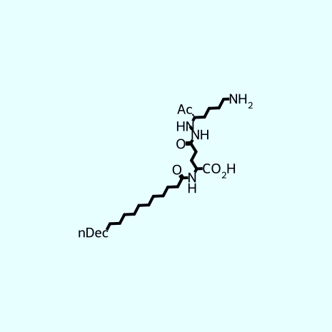 CCCCCCCCCCCCCCCCCCCCC(=O)NC(CCC(=O)NN[C@@H](CCCCN)C(C)=O)C(=O)O